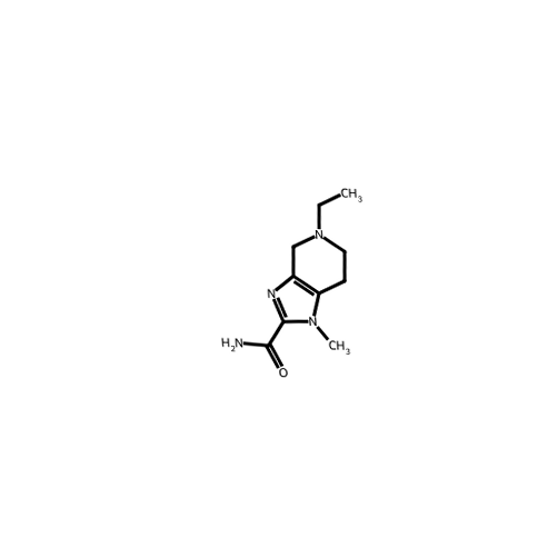 CCN1CCc2c(nc(C(N)=O)n2C)C1